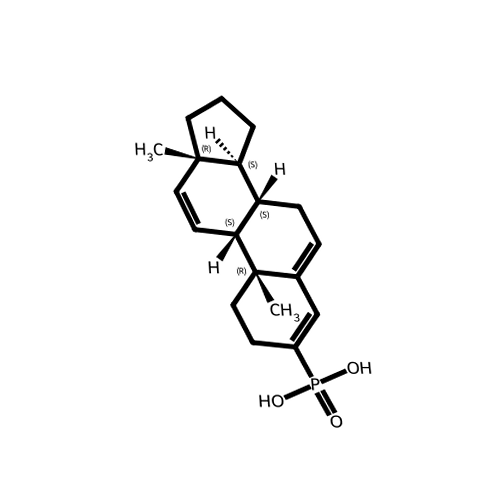 C[C@]12CCC(P(=O)(O)O)=CC1=CC[C@@H]1[C@H]2C=C[C@]2(C)CCC[C@@H]12